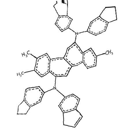 Cc1ccc2c(c1)c(N(c1ccc3c(c1)C=CC3)c1ccc3c(c1)CCC3)cc1c3cc(C)c(C)cc3c(N(c3ccc4c(c3)CC=C4)c3ccc4c(c3)CCC4)cc21